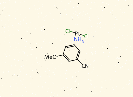 COc1cccc(C#N)c1.N.[Cl][Pt][Cl]